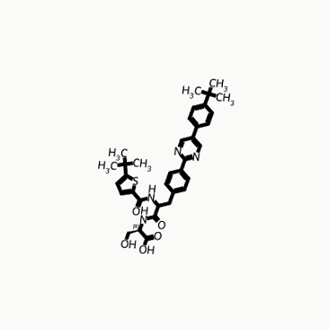 CC(C)(C)c1ccc(-c2cnc(-c3ccc(CC(NC(=O)c4ccc(C(C)(C)C)s4)C(=O)N[C@H](CO)C(=O)O)cc3)nc2)cc1